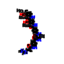 C=N/C=N\C=C(/C)C(=O)Nc1ccc(C(=O)NC(CC#N)C(=O)Nc2ccc(C(=O)Nc3ccc(C(=O)Nc4ccc(C(=O)O)c(O)c4OC)c(O)c3OC)cc2)cc1